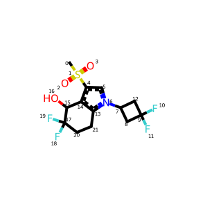 CS(=O)(=O)c1cn(C2CC(F)(F)C2)c2c1C(O)C(F)(F)CC2